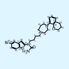 NC(=O)N(CCCCN1CCCN(c2cccc3c2OCCC3)CC1)c1cc2cc(Br)ccc2o1